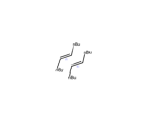 CCCC/C=C/CCCC.CCCC/C=C/CCCC